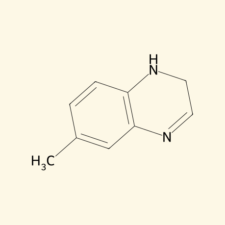 Cc1ccc2c(c1)N=CCN2